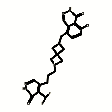 O=c1[nH]ncc(CCCN2CC3(CC(Cc4ccc(Cl)c5c(=O)[nH]ncc45)C3)C2)c1C(F)F